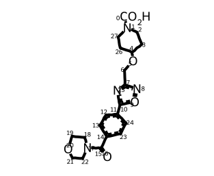 O=C(O)N1CCC(OCc2noc(-c3ccc(C(=O)N4CCOCC4)cc3)n2)CC1